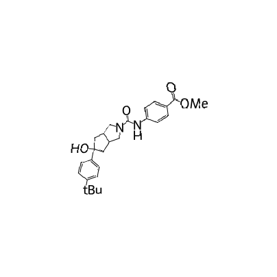 COC(=O)c1ccc(NC(=O)N2CC3CC(O)(c4ccc(C(C)(C)C)cc4)CC3C2)cc1